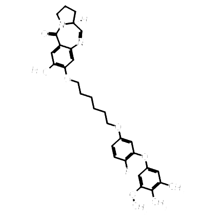 COc1cc(Oc2cc(OCCCCCCOc3cc4c(cc3C)C(=O)N3CCC[C@H]3C=N4)ccc2F)cc(C)c1C